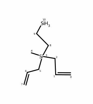 C=CC[Si](C)(CC=C)CC[SiH3]